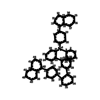 c1ccc(N(c2ccc(-c3cccc4ccccc34)cc2)c2ccccc2-c2cccc(-c3ccccc3-c3ccc(-c4cccc5ccccc45)cc3)c2)cc1